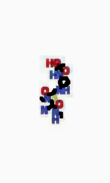 CCNC(=O)C(C#N)=c1sc(=CNc2cccc(NC(=O)C(C)(C)O)c2)c(=O)n1CC